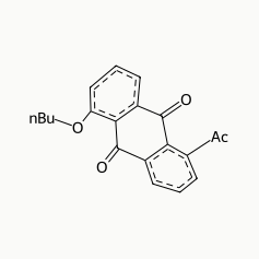 CCCCOc1cccc2c1C(=O)c1cccc(C(C)=O)c1C2=O